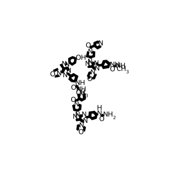 CNC(=O)Nc1ccc(-c2nc(N3CCOCC3)c3cnn(C4CCC(O)CC4)c3n2)cc1.CNC(=O)Nc1ccc(-c2nc(N3CCOCC3)c3cnn(C4CCN(C(=O)c5ccncc5)CC4)c3n2)cc1.NC(=O)Nc1ccc(-c2nc(N3CCOCC3)c3cnn(C4CCN(C(=O)c5cccnc5)CC4)c3n2)cc1